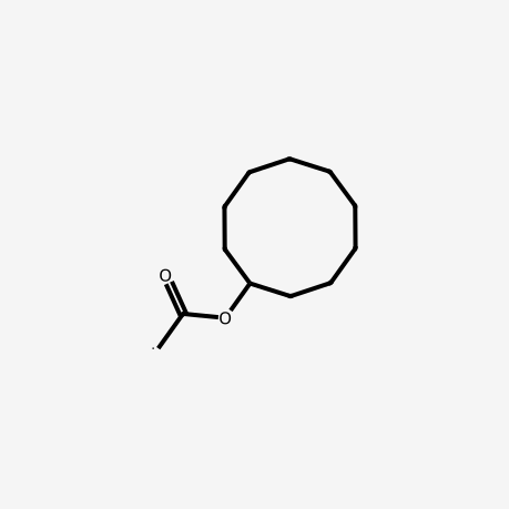 [CH2]C(=O)OC1CCCCCCCCC1